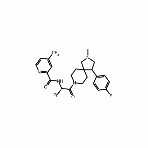 CC(C)[C@@H](NC(=O)c1cc(C(F)(F)F)ccn1)C(=O)N1CCC2(CC1)CN(C)CC2c1ccc(F)cc1